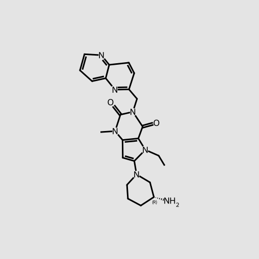 CCn1c(N2CCC[C@@H](N)C2)cc2c1c(=O)n(Cc1ccc3ncccc3n1)c(=O)n2C